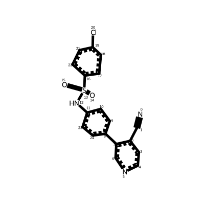 N#Cc1ccncc1-c1ccc(NS(=O)(=O)c2ccc(Cl)cc2)cc1